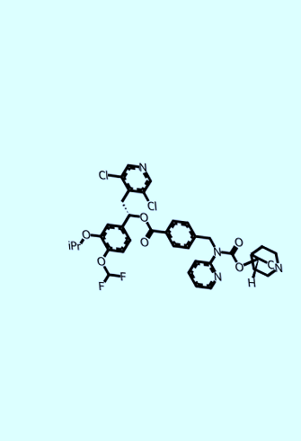 CC(C)Oc1cc([C@H](Cc2c(Cl)cncc2Cl)OC(=O)c2ccc(CN(C(=O)O[C@H]3CN4CCC3CC4)c3ccccn3)cc2)ccc1OC(F)F